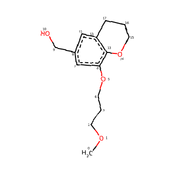 COCCCOc1cc(CO)cc2c1OCCC2